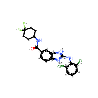 O=C(NC1CCC(F)(F)CC1)c1ccc2nc(Nc3c(Cl)cccc3Cl)[nH]c2c1